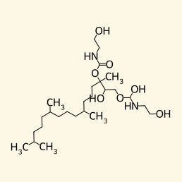 CC(C)CCCC(C)CCCC(C)CCCC(C)(OC(=O)NCCO)C(O)COC(O)NCCO